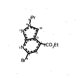 CCOC(=O)c1cc(Br)nc2nn(C(C)C)cc12